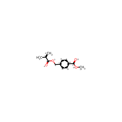 C=C(C)C(=O)OCc1ccc(C(=O)OC)cc1